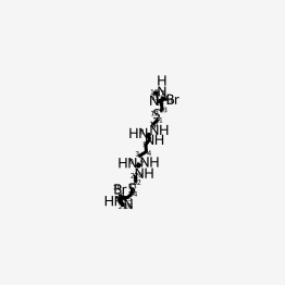 N=C(NCCCNC(=N)NCCSCc1nc[nH]c1Br)NCCSCc1nc[nH]c1Br